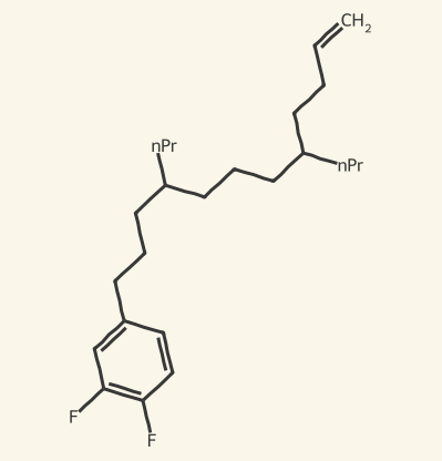 C=CCCC(CCC)CCCC(CCC)CCCc1ccc(F)c(F)c1